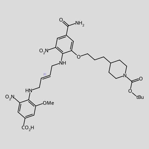 COc1cc(C(=O)O)cc([N+](=O)[O-])c1NC/C=C/CNc1c(OCCCC2CCN(C(=O)OC(C)(C)C)CC2)cc(C(N)=O)cc1[N+](=O)[O-]